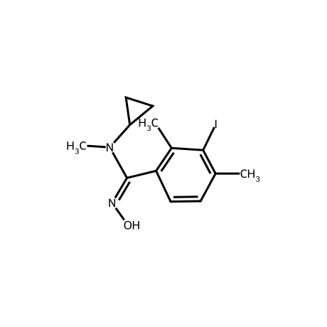 Cc1ccc(/C(=N\O)N(C)C2CC2)c(C)c1I